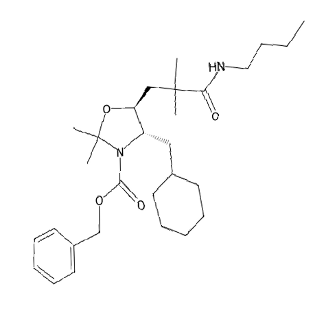 CCCCNC(=O)C(C)(C)C[C@@H]1OC(C)(C)N(C(=O)OCc2ccccc2)[C@H]1CC1CCCCC1